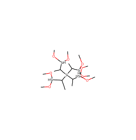 CO[SiH](OC)C(C)[Si](C(C)[SiH](OC)OC)(C(C)[SiH](OC)OC)C(C)[SiH](OC)OC